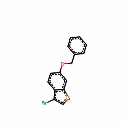 Brc1csc2cc(OCc3ccccc3)ccc12